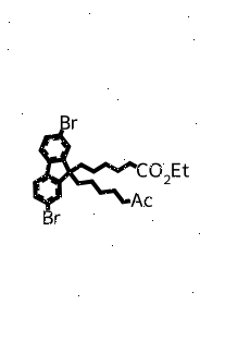 CCOC(=O)CCCCCC1(CCCCCC(C)=O)c2cc(Br)ccc2-c2ccc(Br)cc21